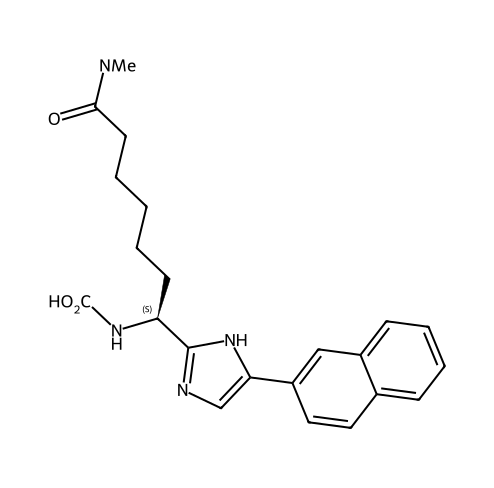 CNC(=O)CCCCC[C@H](NC(=O)O)c1ncc(-c2ccc3ccccc3c2)[nH]1